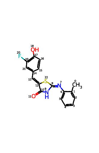 Cc1ccccc1N=C1NC(=O)C(=Cc2ccc(O)c(F)c2)S1